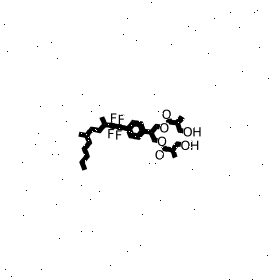 C=C(CO)C(=O)OCC(COC(=O)C(C)CO)c1ccc(C(F)(F)C(F)(F)C(C)CCC(C)CCCCC)cc1